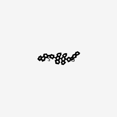 c1ccc2cc3c(cc2c1)oc1ccc(-c2c4ccccc4c(-c4c5ccccc5c(-c5ccc6c(c5)sc5c6ccc6c7ccccc7ccc65)c5ccccc45)c4ccccc24)cc13